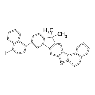 CC1(C)c2ccc(-c3ccc(I)c4ccccc34)cc2-c2cc3sc4ccc5ccccc5c4c3cc21